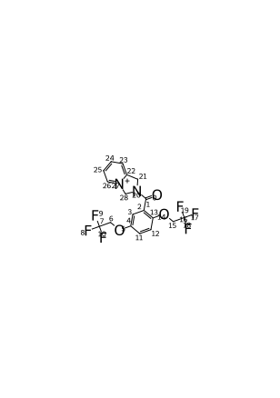 O=C(c1cc(OCC(F)(F)F)ccc1OCC(F)(F)F)N1Cc2cccc[n+]2C1